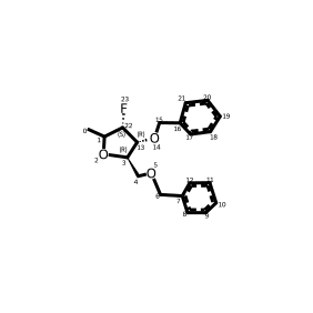 CC1O[C@H](COCc2ccccc2)[C@@H](OCc2ccccc2)[C@H]1F